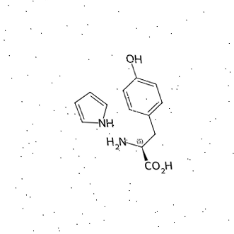 N[C@@H](Cc1ccc(O)cc1)C(=O)O.c1cc[nH]c1